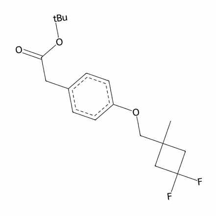 CC1(COc2ccc(CC(=O)OC(C)(C)C)cc2)CC(F)(F)C1